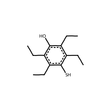 CCc1c(O)c(CC)c(CC)c(S)c1CC